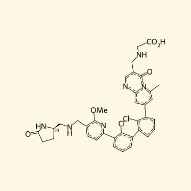 COc1nc(-c2cccc(-c3cccc(-c4cc(C)n5c(=O)c(CNCC(=O)O)cnc5c4)c3Cl)c2Cl)ccc1CNC[C@H]1CCC(=O)N1